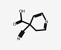 N#CC1(C(=O)O)C=CN=CC1